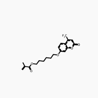 C=C(C)C(=O)OCCCCCCOc1ccc2c(C(F)(F)F)cc(=O)oc2c1